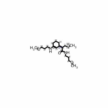 CNC/C(C(=O)NCCCOC)=C1/C=C(NCCCOC)CCC1